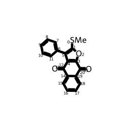 CSc1oc2c(c1-c1ccccc1)C(=O)c1ccccc1C2=O